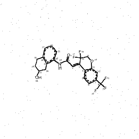 O=C(C=C1c2ccc(C(F)(F)F)cc2OCC1(F)F)Nc1cccc2c1CC(O)CC2